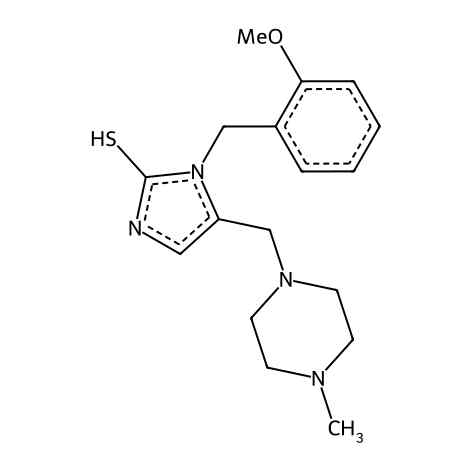 COc1ccccc1Cn1c(CN2CCN(C)CC2)cnc1S